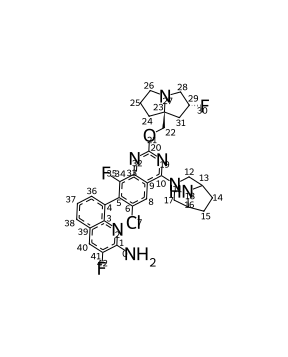 Nc1nc2c(-c3c(Cl)cc4c(N5CC6CCC(C5)N6)nc(OC[C@@]56CCCN5C[C@H](F)C6)nc4c3F)cccc2cc1F